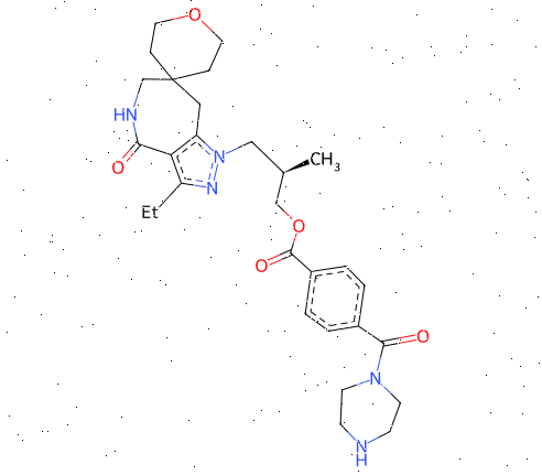 CCc1nn(C[C@@H](C)COC(=O)c2ccc(C(=O)N3CCNCC3)cc2)c2c1C(=O)NCC1(CCOCC1)C2